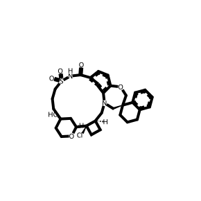 O=C1NS(=O)(=O)CCC[C@]2(O)CCO[C@H](C2)[C@@]2(Cl)CC[C@@H]2CN2C[C@@]3(CCCc4ccccc43)COc3ccc1cc32